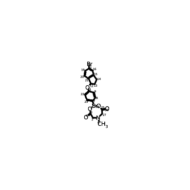 CN1CC(=O)OB(c2ccc(OC3CCc4cc(Br)ccc43)cc2)OC(=O)C1